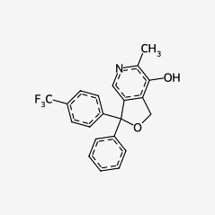 Cc1ncc2c(c1O)COC2(c1ccccc1)c1ccc(C(F)(F)F)cc1